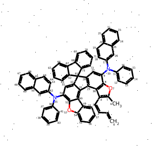 C=C/C=C\c1c(C)oc2c(N(c3ccccc3)c3ccc4ccccc4c3)cc3c(c12)-c1c(cc(N(c2ccccc2)c2ccc4ccccc4c2)c2oc4ccccc4c12)C31c2ccccc2-c2ccccc21